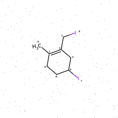 CC1=C(CI)CC(I)CC1